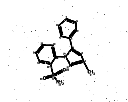 Cc1cc(-c2ccccc2)n(-c2ccccc2S(N)(=O)=O)n1